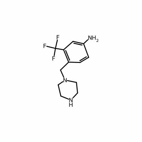 Nc1ccc(CN2CCNCC2)c(C(F)(F)F)c1